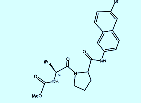 COC(=O)N[C@H](C(=O)N1CCCC1C(=O)Nc1ccc2cc(Br)ccc2c1)C(C)C